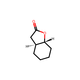 O=C1C[C@@H]2CCCC[C@H]2O1